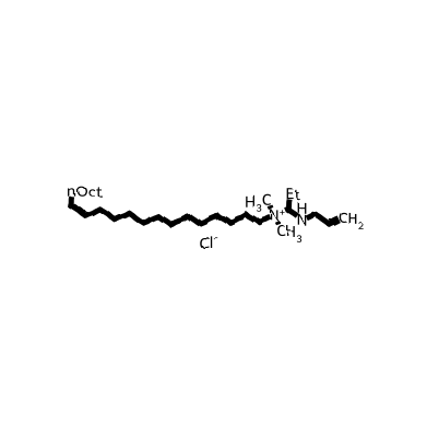 C=CCNC(CC)[N+](C)(C)CCCCCCCCCCCC/C=C\CCCCCCCC.[Cl-]